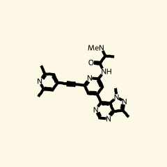 CNC(C)C(=O)Nc1cc(-c2ncnc3c(C)nn(C)c23)cc(C#Cc2cc(C)nc(C)c2)n1